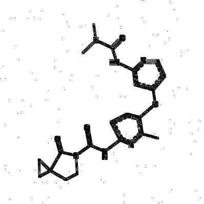 Cc1nc(NC(=O)N2CCC3(CC3)C2=O)ccc1Oc1ccnc(NC(=O)N(C)C)c1